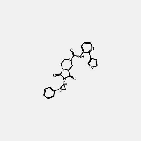 O=C(Nc1cccnc1-c1ccsc1)N1CCN2C(=O)N([C@@H]3C[C@H]3c3ccccc3)C(=O)C2C1